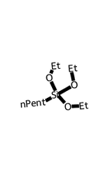 [CH2]CCCC[Si](OCC)(OCC)OCC